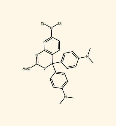 CCN(CC)c1ccc2c(c1)N=C(OC)SC2(c1ccc(N(C)C)cc1)c1ccc(N(C)C)cc1